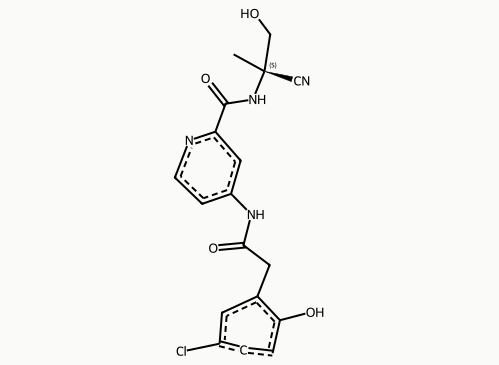 C[C@](C#N)(CO)NC(=O)c1cc(NC(=O)Cc2cc(Cl)ccc2O)ccn1